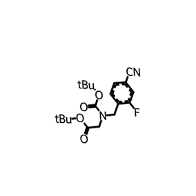 CC(C)(C)OC(=O)CN(Cc1ccc(C#N)cc1F)C(=O)OC(C)(C)C